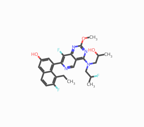 CCc1c(F)ccc2cc(O)cc(-c3ncc4c(N(CC(C)O)CC(C)F)nc(OC)nc4c3F)c12